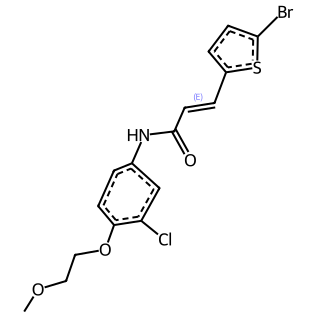 COCCOc1ccc(NC(=O)/C=C/c2ccc(Br)s2)cc1Cl